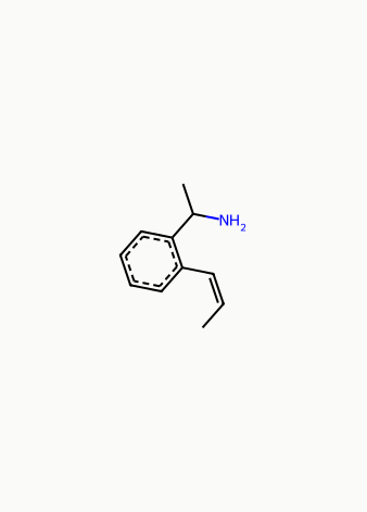 C/C=C\c1ccccc1C(C)N